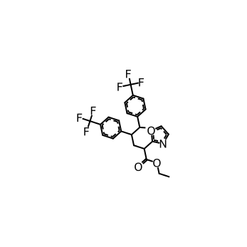 CCOC(=O)C(CC(c1ccc(C(F)(F)F)cc1)C(C)c1ccc(C(F)(F)F)cc1)c1ncco1